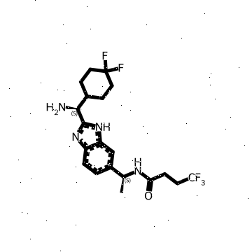 C[C@H](NC(=O)CCC(F)(F)F)c1ccc2nc([C@@H](N)C3CCC(F)(F)CC3)[nH]c2c1